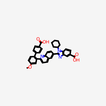 COc1ccc(-c2ccc(C(=O)O)cc2)c(-c2ccc3cc(-c4nc5cc(C(=O)O)ccc5n4C4CCCCC4)ccc3n2)c1